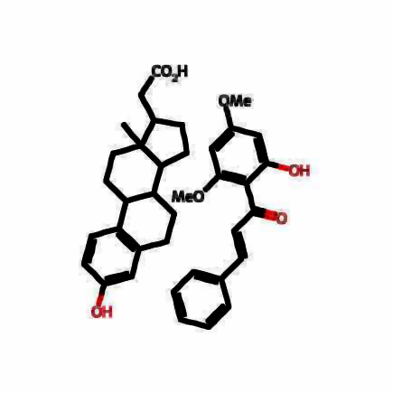 CC12CCC3c4ccc(O)cc4CCC3C1CCC2CC(=O)O.COc1cc(O)c(C(=O)C=Cc2ccccc2)c(OC)c1